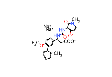 Cc1ccccc1-c1cc([C@H](CC(=O)[O-])NC(=O)Nc2c([O-])ccn(C)c2=O)ccc1OC(F)(F)F.[Na+].[Na+]